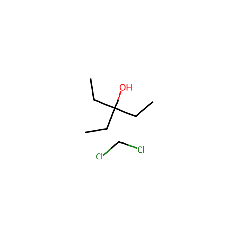 CCC(O)(CC)CC.ClCCl